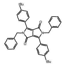 CC(C)(C)c1ccc(C2=C3C(=O)N(Cc4ccccc4)C(c4ccc(C(C)(C)C)cc4)=C3C(=O)N2Cc2ccccc2)cc1